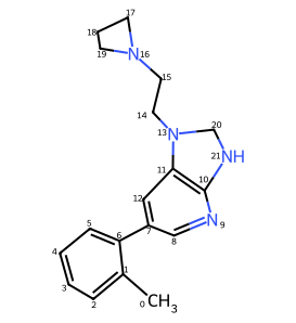 Cc1ccccc1-c1cnc2c(c1)N(CCN1CCC1)CN2